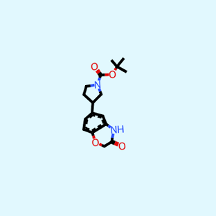 CC(C)(C)OC(=O)N1CCC(c2ccc3c(c2)NC(=O)CO3)C1